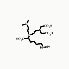 CC(C)NCCCCC(C(=O)O)N(CCN(C)C)CCN(CC(=O)O)CC(=O)O